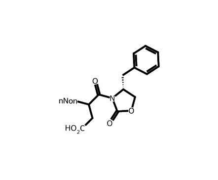 CCCCCCCCCC(CC(=O)O)C(=O)N1C(=O)OC[C@H]1Cc1ccccc1